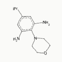 CC(C)c1cc(N)c(N2CCOCC2)c(N)c1